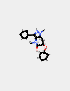 Cn1nc(-c2ccccc2)c2c1cc(Oc1ccccc1)c(=O)n2C